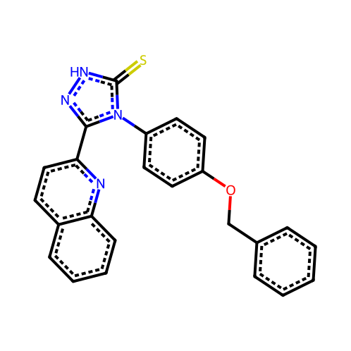 S=c1[nH]nc(-c2ccc3ccccc3n2)n1-c1ccc(OCc2ccccc2)cc1